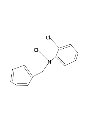 Clc1ccccc1N(Cl)Cc1ccccc1